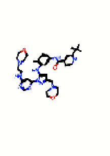 Cc1ccc(NC(=O)c2ccnc(C(C)(C)C)c2)cc1Nc1cc(CN2CCOCC2)nn1-c1cc(NCCN2CCOCC2)ncn1